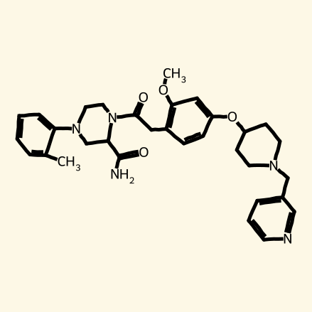 COc1cc(OC2CCN(Cc3cccnc3)CC2)ccc1CC(=O)N1CCN(c2ccccc2C)CC1C(N)=O